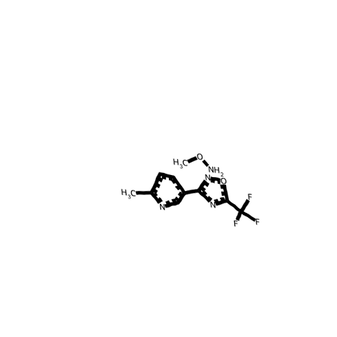 CON.Cc1ccc(-c2noc(C(F)(F)F)n2)cn1